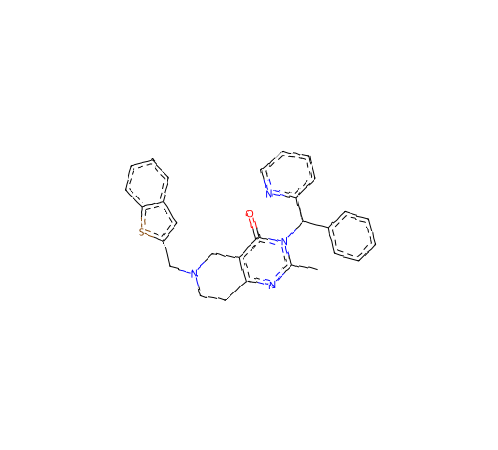 Cc1nc2c(c(=O)n1C(c1ccccc1)c1ccccn1)CN(Cc1cc3ccccc3s1)CC2